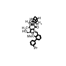 COc1c(CN2O[C@@H](CO)[C@@H]([C@H](C)O)[C@H]2C(=O)N[C@H]2C[C@H]3C[C@@H]([C@@H]2C)C3(C)C)cccc1-c1cccc(C(C)C)c1